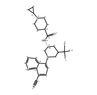 N#Cc1ccc(N2CC(C(F)(F)F)C[C@@H](NC(=O)C3CCN(C4CC4)CC3)C2)c2cccnc12